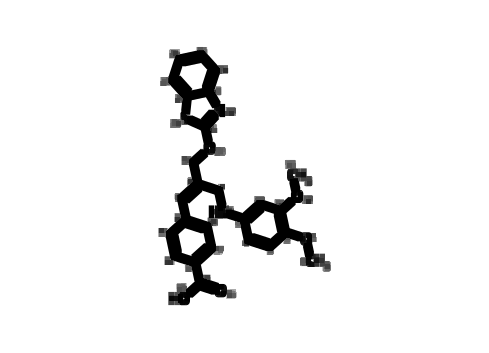 COc1ccc(NCC(=Cc2ccc(C(=O)O)cc2)COc2nc3ccccc3s2)cc1OC